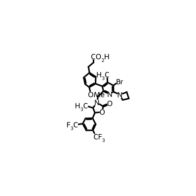 COc1ccc(CCC(=O)O)cc1-c1c(CN2C(=O)OC(c3cc(C(F)(F)F)cc(C(F)(F)F)c3)C2C)nc(N2CCC2)c(Br)c1C